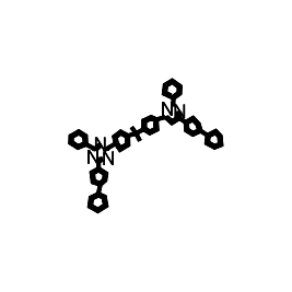 CC(C)(c1ccc(-c2cc(-c3ccc(-c4ccccc4)cc3)nc(-c3ccccc3)n2)cc1)c1ccc(-c2nc(-c3ccccc3)nc(-c3ccc(-c4ccccc4)cc3)n2)cc1